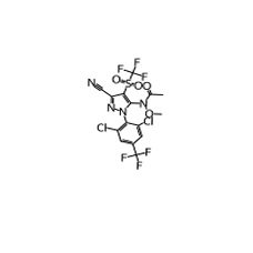 CON(C(C)=O)c1c(S(=O)(=O)C(F)(F)F)c(C#N)nn1-c1c(Cl)cc(C(F)(F)F)cc1Cl